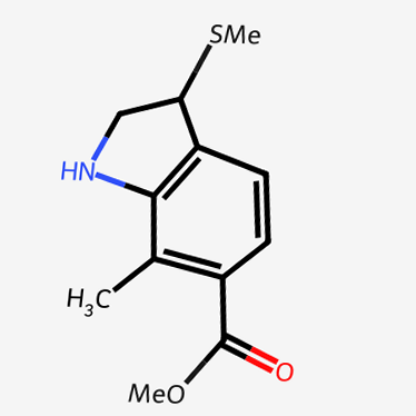 COC(=O)c1ccc2c(c1C)NCC2SC